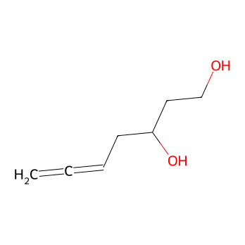 C=C=CCC(O)CCO